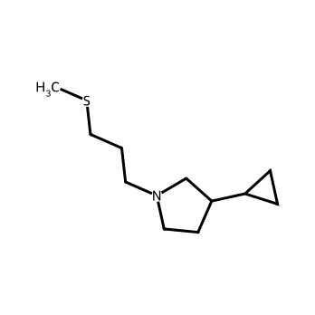 CSCCCN1CCC(C2CC2)C1